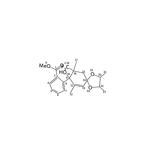 COC(=O)c1ccccc1C1(O)C(C)=CC2(CC1(C)C(F)(F)F)OC(C)C(C)O2